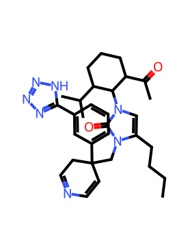 CCCCc1cn(C2C(C(C)=O)CCCC2C(C)C)c(=O)n1CC1(c2cccc(-c3nnn[nH]3)c2)C=CN=CC1